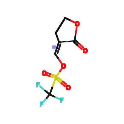 O=C1OCC/C1=C/OS(=O)(=O)C(F)(F)F